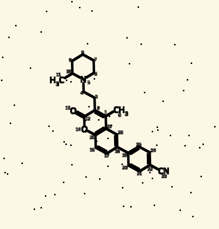 Cc1c(CCN2CCCCC2C)c(=O)oc2ccc(-c3ccc(C#N)cc3)cc12